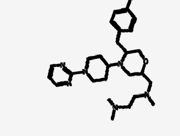 CN(C)CCN(C)CC1CN(C2CCN(c3ncccn3)CC2)C(Cc2ccc(Cl)cc2)CO1